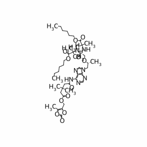 CCCCCCOC(=O)C(C)(C)NP(=O)(CO[C@H](C)Cn1cnc2c(NC(=O)CC(C)(C)CC(=O)OCc3oc(=O)oc3C)ncnc21)NC(C)(C)C(=O)OCCCCCC